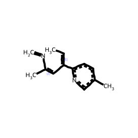 C=N/C(C)=C\C(=C/C)c1ccc(C)cn1